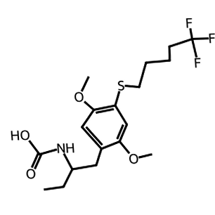 CCC(Cc1cc(OC)c(SCCCCC(F)(F)F)cc1OC)NC(=O)O